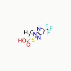 Cn1c(SCC(=O)O)nc2cc(C(F)(F)F)cnc21